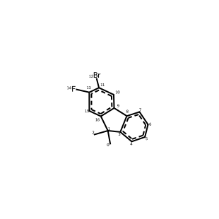 CC1(C)c2ccccc2-c2cc(Br)c(F)cc21